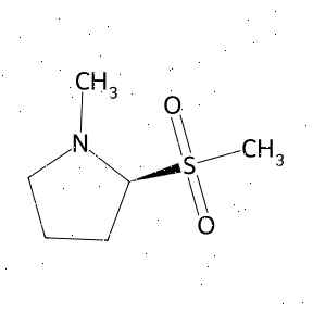 CN1CCC[C@@H]1S(C)(=O)=O